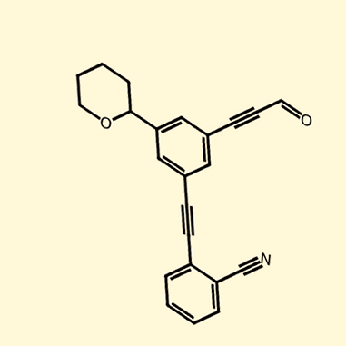 N#Cc1ccccc1C#Cc1cc(C#CC=O)cc(C2CCCCO2)c1